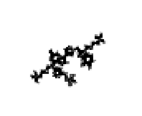 Cc1cn2c(-c3cnn(Cc4nc5c(F)c(F)ccc5n4COCC[Si](C)(C)C)c3)cnc2c(N(COCC[Si](C)(C)C)c2cc(COS(C)(=O)=O)ns2)n1